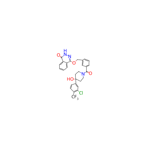 O=C(c1cccc(COc2n[nH]c(=O)c3ccccc23)c1)N1CCC(O)(c2ccc(C(F)(F)F)c(Cl)c2)CC1